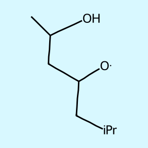 CC(C)CC([O])CC(C)O